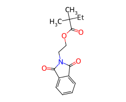 CCC(C)(C)C(=O)OCCN1C(=O)c2ccccc2C1=O